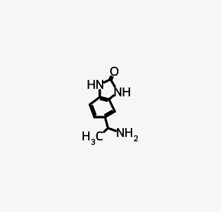 CC(N)c1ccc2[nH]c(=O)[nH]c2c1